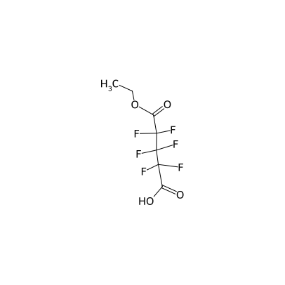 CCOC(=O)C(F)(F)C(F)(F)C(F)(F)C(=O)O